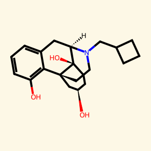 Oc1cccc2c1[C@]13CCN(CC4CCC4)[C@H](C2)[C@]1(O)CC[C@@H](O)C3